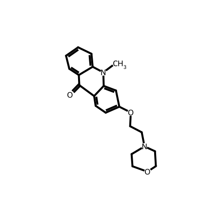 Cn1c2ccccc2c(=O)c2ccc(OCCN3CCOCC3)cc21